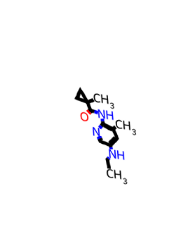 CCNc1cnc(NC(=O)C2(C)CC2)c(C)c1